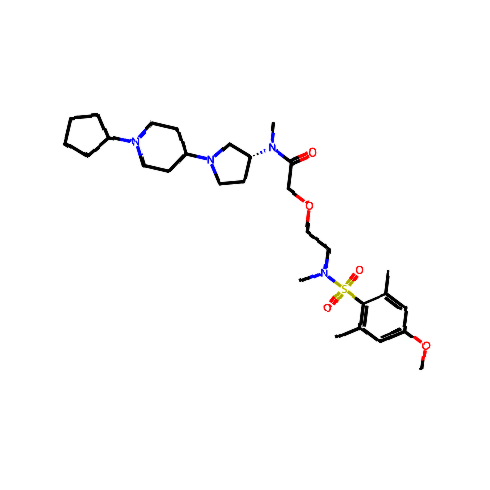 COc1cc(C)c(S(=O)(=O)N(C)CCOCC(=O)N(C)[C@@H]2CCN(C3CCN(C4CCCC4)CC3)C2)c(C)c1